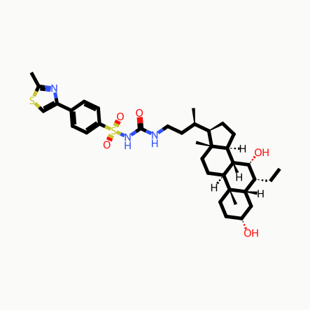 CC[C@H]1[C@@H](O)[C@@H]2[C@H](CC[C@]3(C)[C@@H]([C@H](C)CCNC(=O)NS(=O)(=O)c4ccc(-c5csc(C)n5)cc4)CC[C@@H]23)[C@@]2(C)CC[C@@H](O)C[C@@H]12